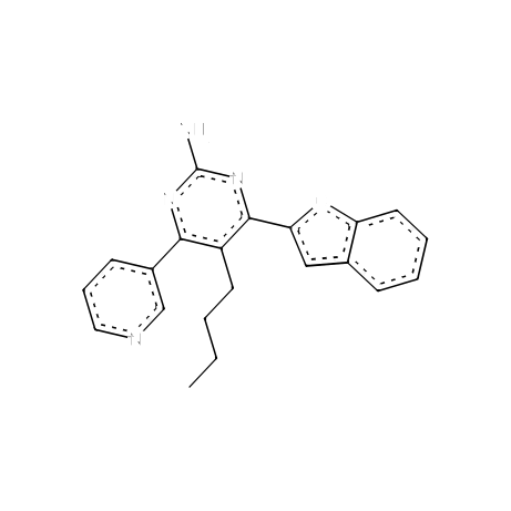 CCCCc1c(-c2cccnc2)nc(N)nc1-c1cc2ccccc2o1